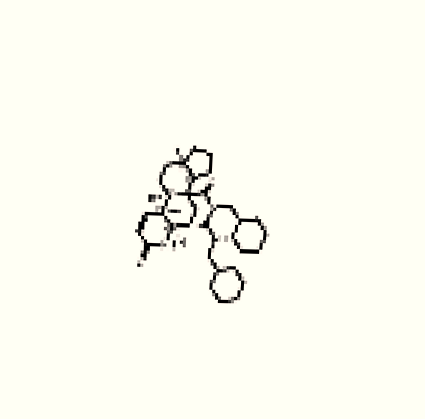 C[C@@]12CCC[C@H]1C1(C(=O)N(CC3CCCCC3)C(=S)NCC3CCCCC3)CC[C@H]3NC(=O)C=C[C@]3(C)[C@H]1CC2